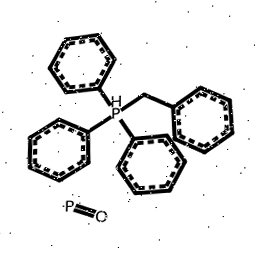 O=[P].c1ccc(C[PH](c2ccccc2)(c2ccccc2)c2ccccc2)cc1